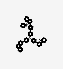 c1ccc(-n2c3cc(-c4ccc(N(c5ccc(-c6ccc7ccc8ccccc8c7c6)cc5)c5ccc(-c6cccc7c6sc6ccccc67)cc5)cc4)ccc3c3ccc4ccccc4c32)cc1